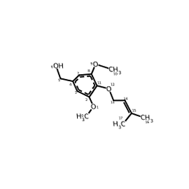 COc1cc(CO)cc(OC)c1OCC=C(C)C